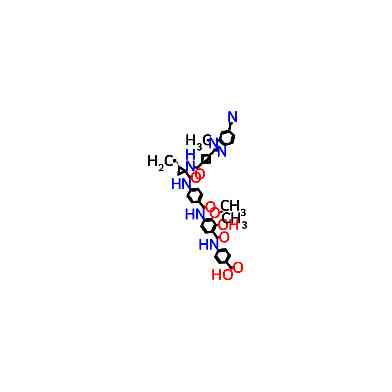 C=C[C@H]1C[C@@]1(NC(=O)C12CC(c3nc4ccc(C#N)cc4n3C)(C1)C2)C(=O)Nc1ccc(C(=O)Nc2ccc(C(=O)Nc3ccc(C(=O)O)cc3)c(O)c2OC(C)C)cc1